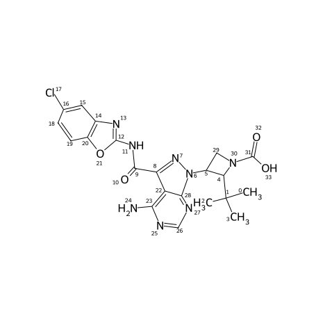 CC(C)(C)C1C(n2nc(C(=O)Nc3nc4cc(Cl)ccc4o3)c3c(N)ncnc32)CN1C(=O)O